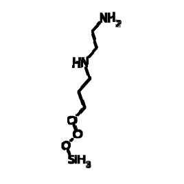 NCCNCCCOOO[SiH3]